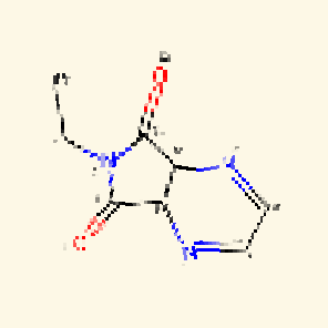 CC(C)CN1C(=O)C2N=CC=NC2C1=O